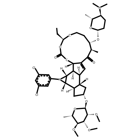 CC[C@H]1CCC[C@H](O[C@H]2CC[C@H](N(C)C)[C@@H](C)O2)[C@@H](C)C(=O)C2=C[C@H]3[C@@H]4C[C@H](O[C@@H]5O[C@@H](C)[C@H](OC)[C@@H](OC)[C@H]5OC)C[C@H]4[C@H]4[C@@H]([C@H]3[C@@H]2CC(=O)O1)N4c1cc(Cl)cc(Cl)c1